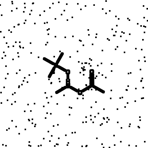 CC(=O)O[SiH](C)O[Si](C)(C)C